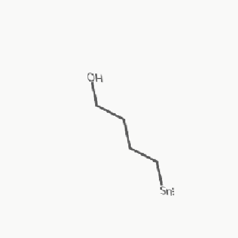 OCCC[CH2][Sn]